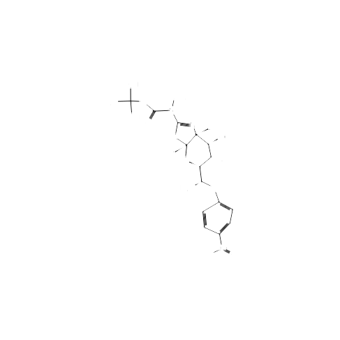 C[C@H](Oc1ccc([N+](=O)[O-])cc1)[C@H]1O[C@@H]2SC(N(C)C(=O)OC(C)(C)C)=N[C@@H]2[C@@H](O)[C@@H]1O